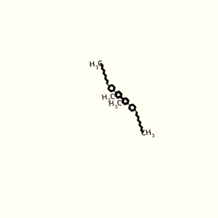 CCCCCCCCC[C@H]1CC[C@H](c2ccc(-c3ccc([C@H]4CC[C@H](CCCCCCCCC)CC4)c(C)c3)c(C)c2)CC1